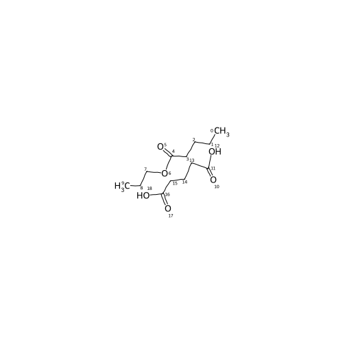 CCCCC(=O)OCCC.O=C(O)CCCC(=O)O